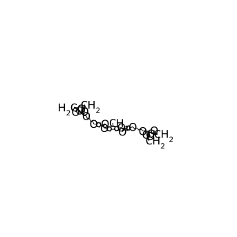 C=CC(=O)OCC(COCCCCOc1ccc(C(=O)Oc2ccc3c(c2)C(C)c2cc(OC(=O)c4ccc(OCCCCOCC(COC(=O)C=C)OC(=O)C=C)cc4)ccc2-3)cc1)OC(=O)C=C